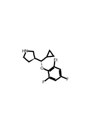 CCc1cc(F)cc(F)c1O[C@@H](C1CC1)[C@H]1CCNC1